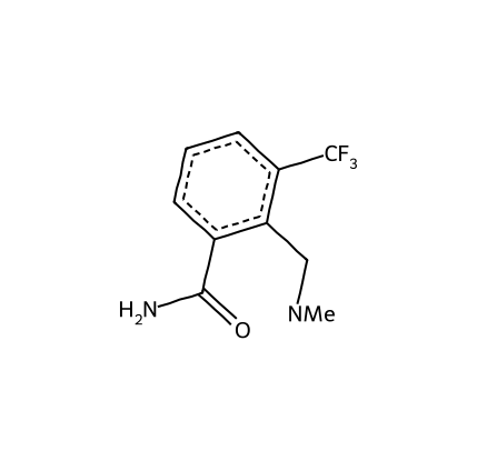 CNCc1c(C(N)=O)cccc1C(F)(F)F